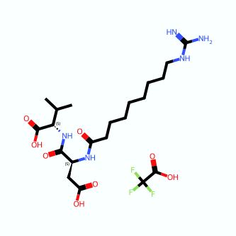 CC(C)[C@H](NC(=O)[C@H](CC(=O)O)NC(=O)CCCCCCCCNC(=N)N)C(=O)O.O=C(O)C(F)(F)F